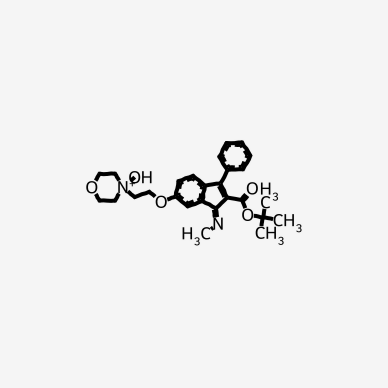 C/N=C1/C(C(=O)OC(C)(C)C)=C(c2ccccc2)c2ccc(OCC[N+]3(O)CCOCC3)cc21